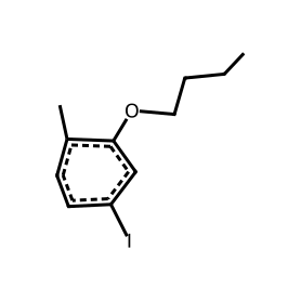 CCCCOc1cc(I)ccc1C